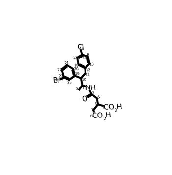 CC(NC(=O)CC(CC(=O)O)C(=O)O)C(Cc1ccc(Cl)cc1)c1cccc(Br)c1